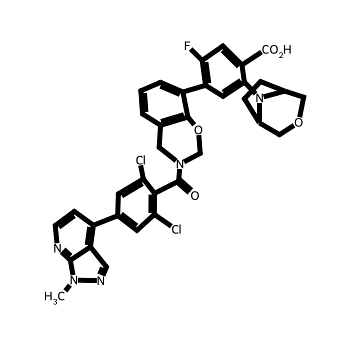 Cn1ncc2c(-c3cc(Cl)c(C(=O)N4COc5c(cccc5-c5cc(N6C7CCC6COC7)c(C(=O)O)cc5F)C4)c(Cl)c3)ccnc21